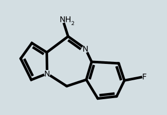 NC1=Nc2cc(F)ccc2Cn2cccc21